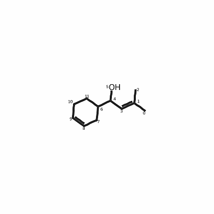 CC(C)=CC(O)C1CC=CCC1